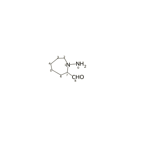 NN1CCCCCC1C=O